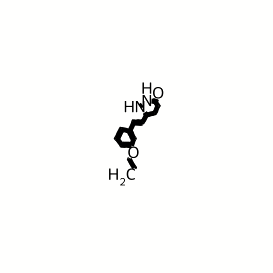 C=CCOc1cccc(/C=C/C2CCC(=O)NN2)c1